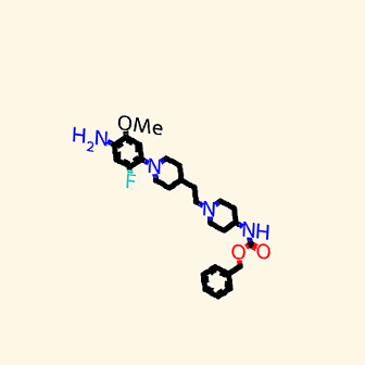 COc1cc(N2CCC(CCN3CCC(NC(=O)OCc4ccccc4)CC3)CC2)c(F)cc1N